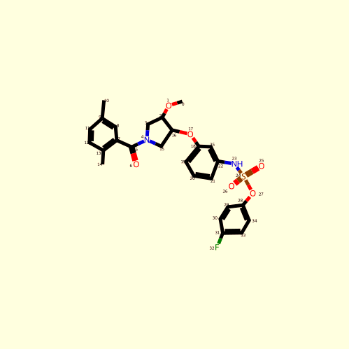 COC1CN(C(=O)c2cc(C)ccc2C)CC1Oc1cccc(NS(=O)(=O)Oc2ccc(F)cc2)c1